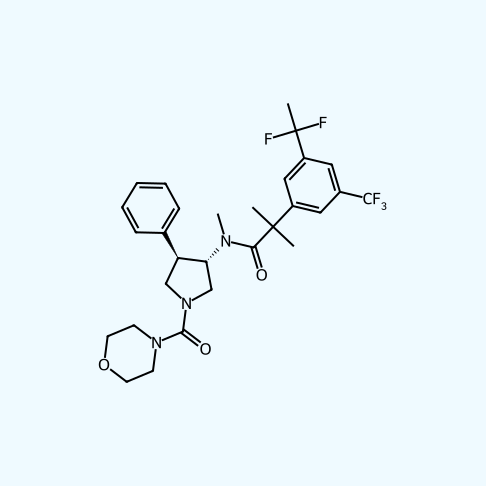 CN(C(=O)C(C)(C)c1cc(C(C)(F)F)cc(C(F)(F)F)c1)[C@@H]1CN(C(=O)N2CCOCC2)C[C@H]1c1ccccc1